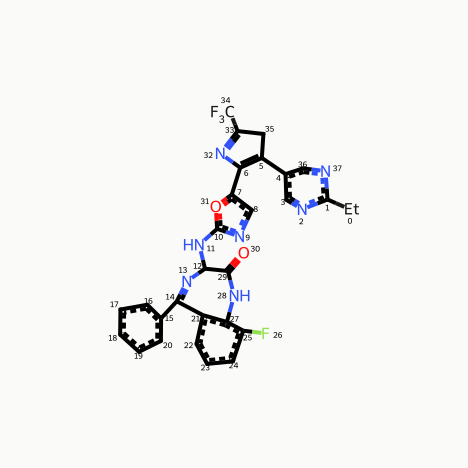 CCc1ncc(C2=C(c3cnc(NC4N=C(c5ccccc5)c5cccc(F)c5NC4=O)o3)N=C(C(F)(F)F)C2)cn1